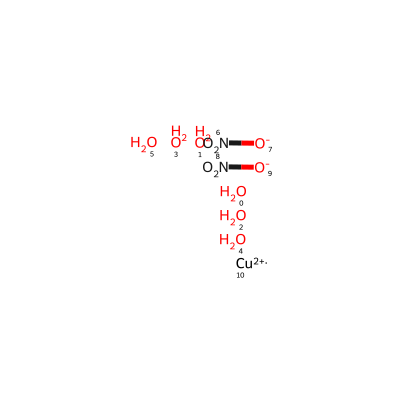 O.O.O.O.O.O.O=[N+]([O-])[O-].O=[N+]([O-])[O-].[Cu+2]